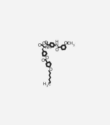 CCCCCCCOc1ccc(C(=O)Oc2ccc(C[C@H](NC(=O)c3ccc(NC(=O)c4cccc(OC)c4)cc3)C(C)=O)cc2)cc1